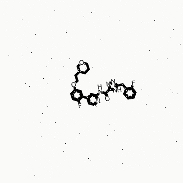 O=C(Nc1cc(-c2cc(OCCC3CCCOC3)ccc2F)ccn1)c1nnc(Cc2ccccc2F)[nH]1